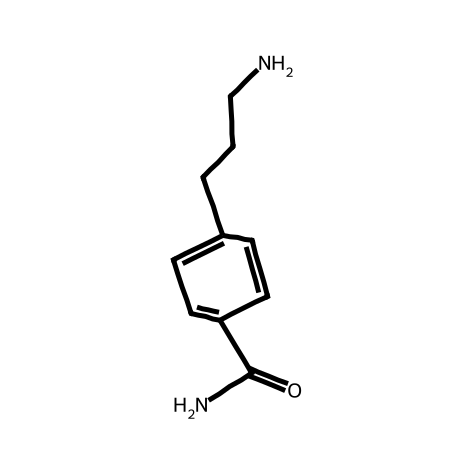 NCCCc1ccc(C(N)=O)cc1